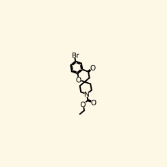 CCOC(=O)N1CCC2(CC1)CC(=O)c1cc(Br)ccc1O2